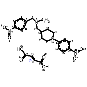 CN(Cc1ccc([N+](=O)[O-])cc1)CC1CCN(c2ccc([N+](=O)[O-])cc2)CC1.O=C(O)/C=C/C(=O)O